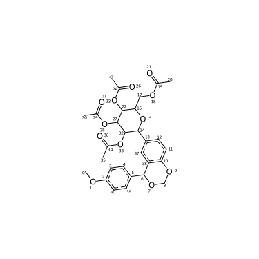 COc1ccc(C2OCOc3ccc(C4OC(COC(C)=O)C(OC(C)=O)C(OC(C)=O)C4OC(C)=O)cc32)cc1